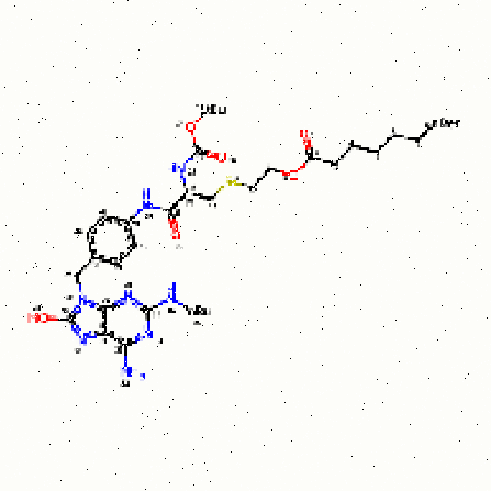 CCCCCCCCCCCCCCCC(=O)OCCSC[C@H](NC(=O)OC(C)(C)C)C(=O)Nc1ccc(Cn2c(O)nc3c(N)nc(NCCCC)nc32)cc1